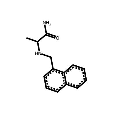 CC(NCc1cccc2ccccc12)C(N)=O